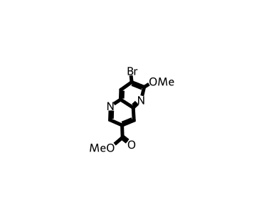 COC(=O)c1cnc2cc(Br)c(OC)nc2c1